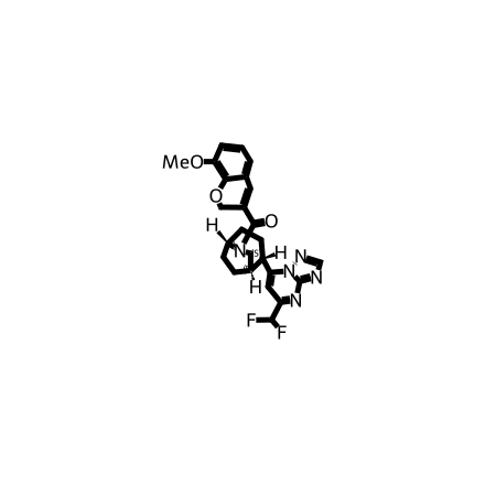 COc1cccc2c1OCC(C(=O)N1C[C@@H]3CC[C@@H]1CC[C@@H]3c1cc(C(F)F)nc3ncnn13)=C2